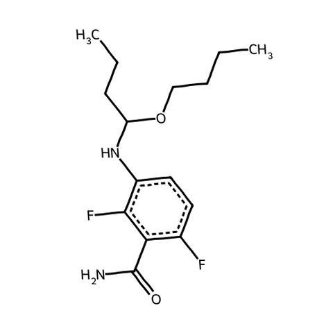 CCCCOC(CCC)Nc1ccc(F)c(C(N)=O)c1F